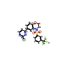 O=S(=O)(c1cccc(C(F)(F)F)c1)N1CCOc2ccc(-c3ccnc(Cl)n3)cc21